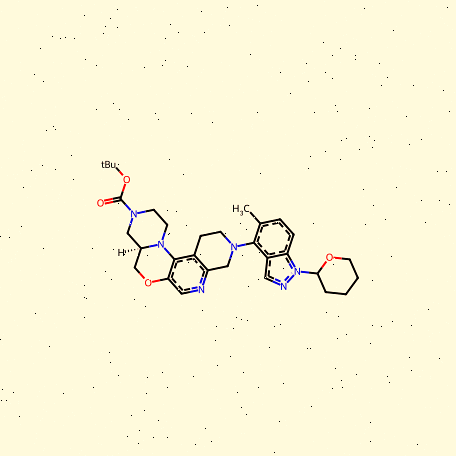 Cc1ccc2c(cnn2C2CCCCO2)c1N1CCc2c(ncc3c2N2CCN(C(=O)OC(C)(C)C)C[C@@H]2CO3)C1